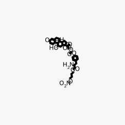 C[C@H]1C[C@H]2[C@@H]3CCC4=CC(=O)C=C[C@]4(C)[C@@]3(Cl)[C@@H](O)C[C@]2(C)[C@@]1(O)C(=O)COC(=O)Oc1ccc(CC(N)C(=O)OCCCCO[N+](=O)[O-])cc1